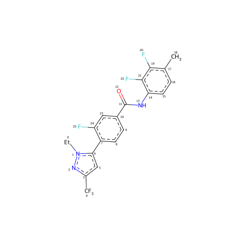 CCn1nc(C(F)(F)F)cc1-c1ccc(C(=O)Nc2ccc(C)c(F)c2F)cc1F